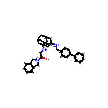 O=C(CNC12CC3CC(C1)CC(NCc1ccc(-c4ccccc4)cc1)(C3)C2)N1Cc2ccccc2C1